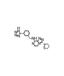 c1cc(CNc2nccn3c([C@@H]4CCCS4)nnc23)cc(-c2nnn[nH]2)c1